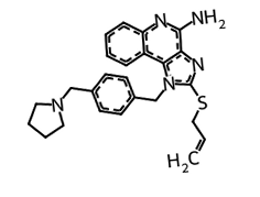 C=CCSc1nc2c(N)nc3ccccc3c2n1Cc1ccc(CN2CCCC2)cc1